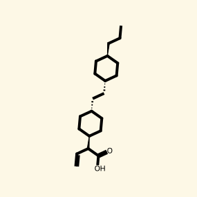 C=CC(C(=O)O)[C@H]1CC[C@H](CC[C@H]2CC[C@H](CCC)CC2)CC1